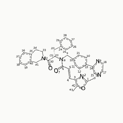 Cc1nc(C=CC(=O)N(Cc2ccc(-c3cnccn3)cc2)[C@@H](Cc2ccccc2)C(=O)N2CCc3ccccc3C2)c(C)o1